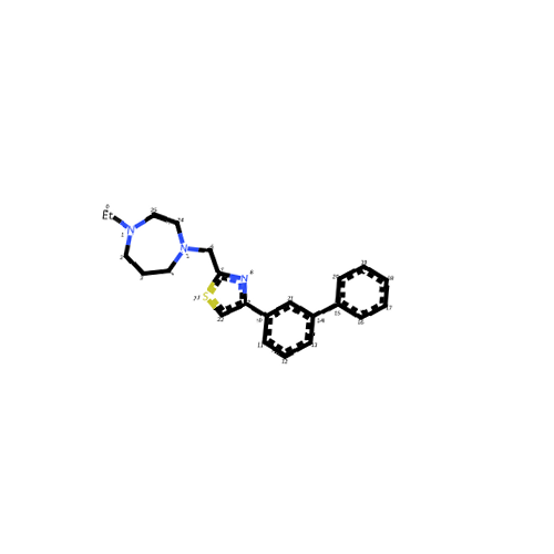 CCN1CCCN(Cc2nc(-c3cccc(-c4ccccc4)c3)cs2)CC1